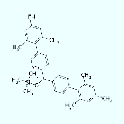 Cc1cc(C)c(-c2ccc([C](O[Si](C)(C)C)c3ccc(-c4c(C)cc(C)cc4C)cc3)cc2)c(C)c1